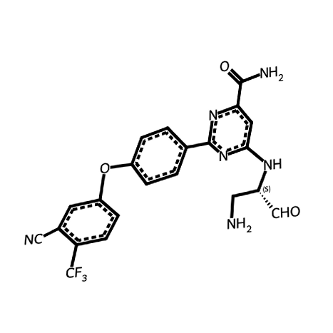 N#Cc1cc(Oc2ccc(-c3nc(N[C@H](C=O)CN)cc(C(N)=O)n3)cc2)ccc1C(F)(F)F